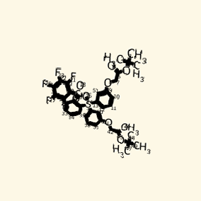 CC(C)(C)OC(=O)COc1cccc(S(OS(=O)(=O)c2c(F)c(F)c(F)c(F)c2F)(c2ccccc2)c2cccc(OCC(=O)OC(C)(C)C)c2)c1